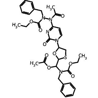 CCOC(=O)N(Cc1ccccc1)C(OC(C)=O)C1OC(n2ccc(N(C(C)=O)N(Cc3ccccc3)C(=O)OCC)nc2=O)CS1